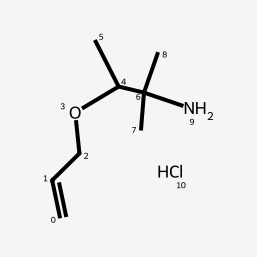 C=CCOC(C)C(C)(C)N.Cl